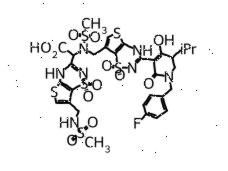 CC(C)C1CN(Cc2ccc(F)cc2)C(=O)C(C2=NS(=O)(=O)c3c(CN(C(C(=O)O)C4=NS(=O)(=O)c5c(CNS(C)(=O)=O)csc5N4)S(C)(=O)=O)csc3N2)=C1O